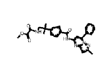 COC(=O)C(=O)NCC(C)(C)c1ccc(C(=O)Nc2cc(-c3ccccc3)n3nc(C)cc3n2)cc1